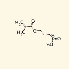 C=C(C)C(=O)OCCC[PH](=O)O